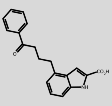 O=C(CCCc1cccc2[nH]c(C(=O)O)cc12)c1ccccc1